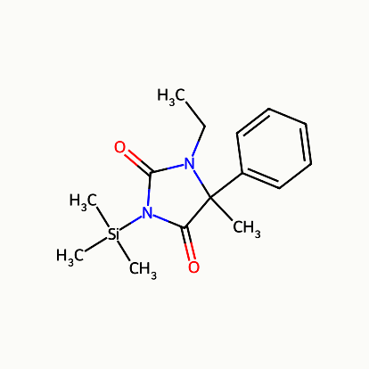 CCN1C(=O)N([Si](C)(C)C)C(=O)C1(C)c1ccccc1